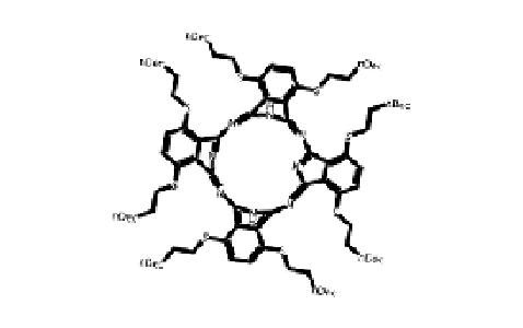 CCCCCCCCCCCCSc1ccc(SCCCCCCCCCCCC)c2c1-c1nc-2nc2[nH]c(nc3nc(nc4[nH]c(n1)c1c(SCCCCCCCCCCCC)ccc(SCCCCCCCCCCCC)c41)-c1c(SCCCCCCCCCCCC)ccc(SCCCCCCCCCCCC)c1-3)c1c(SCCCCCCCCCCCC)ccc(SCCCCCCCCCCCC)c21